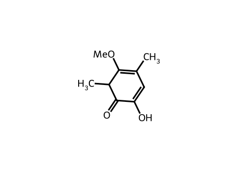 COC1=C(C)C=C(O)C(=O)C1C